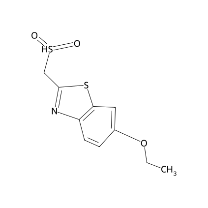 CCOc1ccc2nc(C[SH](=O)=O)sc2c1